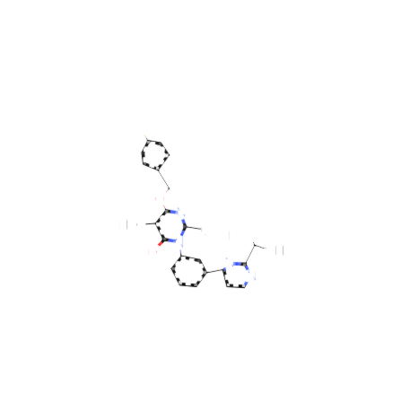 Cc1c(OCc2ccc(F)cc2)nc(C)n(-c2cccc(-c3ccnc(C(C)C)n3)c2)c1=O